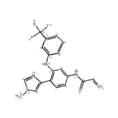 C=CC(=O)Nc1ccc(-c2cn(C)cn2)c(Nc2cccc(C(F)(F)F)c2)c1